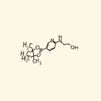 CC1(C)OB(c2ccc(NCCO)nc2)OC1(C)C